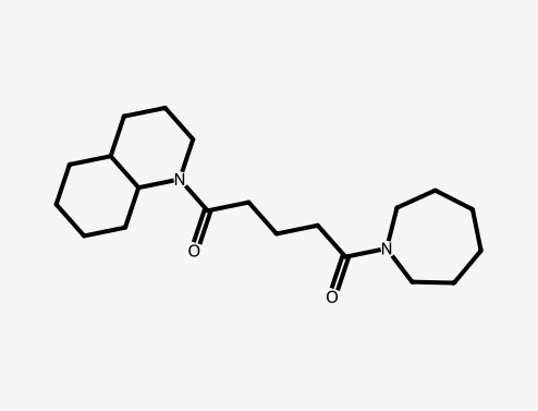 O=C(CCCC(=O)N1CCCC2CCCCC21)N1CCCCCC1